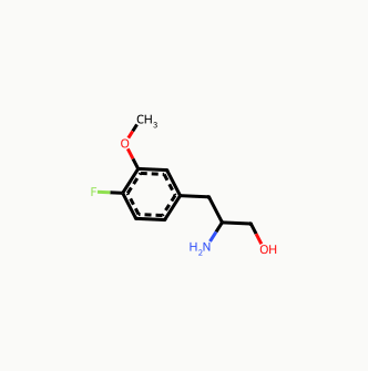 COc1cc(CC(N)CO)ccc1F